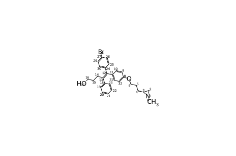 CN1C[C@@H]1CCCOc1ccc(/C(=C(/CCCO)c2ccccc2)c2ccc(Br)cc2)cc1